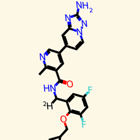 [2H]C(NC(=O)c1cc(-c2ccn3nc(N)nc3c2)cnc1C)c1cc(F)cc(F)c1OCC1CC1